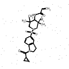 C=CC(=O)NC1C(C)(C)CN(S(=O)(=O)c2ccc3c(c2)CCN3C(=O)C2CC2)CC1(C)C